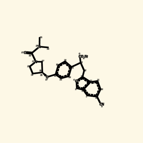 CCOC(=O)C(Cc1occ2cc(C#N)ccc12)c1ccc(O[C@H]2CCN(C(=O)N(C)C)C2)cc1